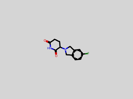 O=C1CCC(N2Cc3ccc(F)cc3C2)C(=O)N1